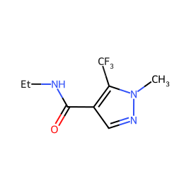 CCNC(=O)c1cnn(C)c1C(F)(F)F